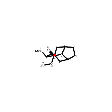 COC=C1CC2CCC(C1)N2C(=O)OC(C)(C)C